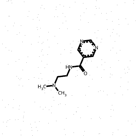 CN(C)CCNC(=O)c1cncnc1